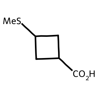 CSC1CC(C(=O)O)C1